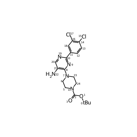 CC(C)(C)OC(=O)N1CCN(c2nc(-c3ccc(Cl)c(Cl)c3)ncc2N)CC1